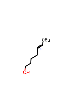 CCCC/C=C/CCCCO